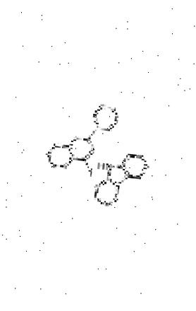 Ic1cc(-c2ccccc2)cc2ccccc12.c1ccc2c(c1)[nH]c1ccccc12